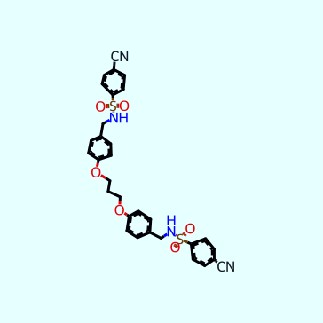 N#Cc1ccc(S(=O)(=O)NCc2ccc(OCCCOc3ccc(CNS(=O)(=O)c4ccc(C#N)cc4)cc3)cc2)cc1